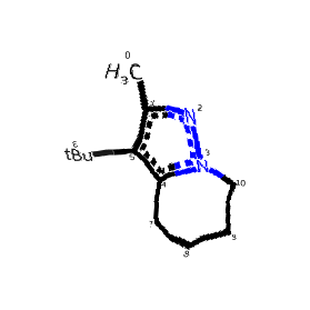 Cc1nn2c(c1C(C)(C)C)CCCC2